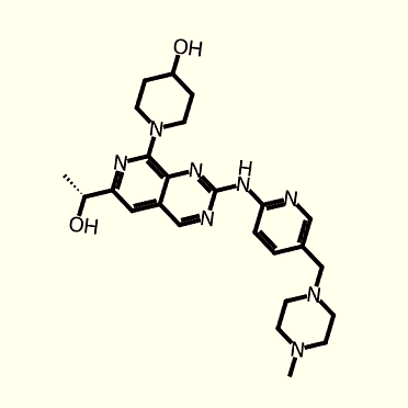 C[C@@H](O)c1cc2cnc(Nc3ccc(CN4CCN(C)CC4)cn3)nc2c(N2CCC(O)CC2)n1